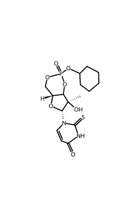 C[C@@]1(O)C2OP(=O)(OC3CCCCC3)OC[C@H]2O[C@H]1n1ccc(=O)[nH]c1=S